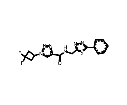 O=C(NCc1nnc(-c2ccccc2)s1)c1cn(C2CC(F)(F)C2)nn1